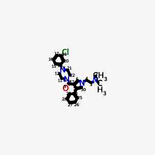 CN(C)CCn1cc(C(=O)N2CCN(c3cccc(Cl)c3)CC2)c(-c2ccccc2)c1